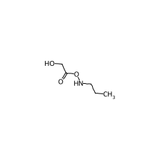 CCCNOC(=O)CO